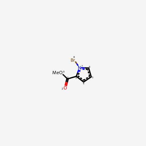 COC(=O)c1cccn1Br